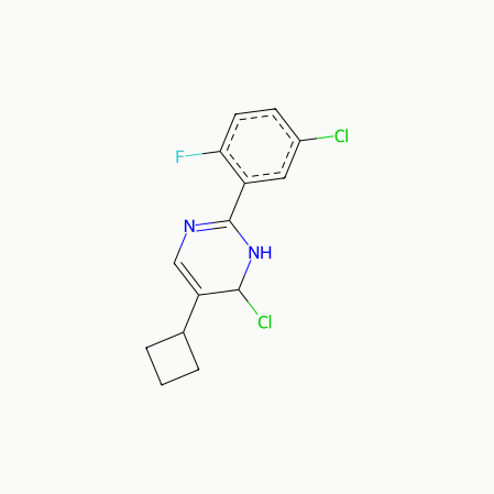 Fc1ccc(Cl)cc1C1=NC=C(C2CCC2)C(Cl)N1